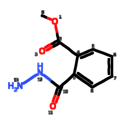 COC(=O)c1ccccc1C(=O)NN